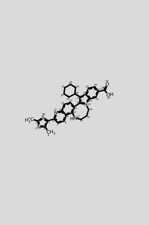 Cc1nc(C)c(-c2ccc3c4c(ccc3n2)-c2c(C3CCCCC3)c3ccc(C(=O)O)cc3n2CCCN4)s1